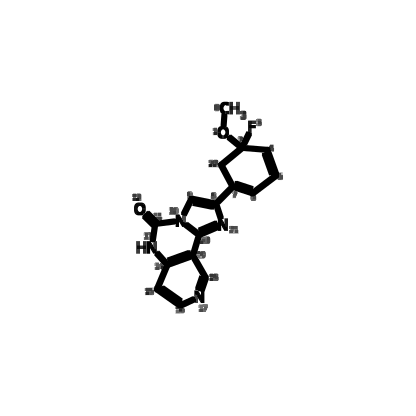 COC1(F)C=CC=C(c2cn3c(=O)[nH]c4ccncc4c3n2)C1